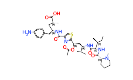 CC[C@H](C)[C@H](NC(=O)[C@H]1CCCCN1C)C(=O)N[C@H](C[C@@H](OC(C)=O)c1nc(C(=O)N[C@@H](Cc2ccc(N)cc2)C[C@@H](C)C(=O)O)cs1)C(C)C